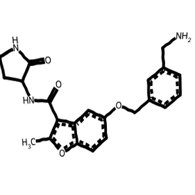 Cc1oc2ccc(OCc3cccc(CN)c3)cc2c1C(=O)NC1CCNC1=O